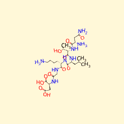 CC(C)C[C@H](NC(=O)[C@@H](NC(=O)[C@@H](N)CC(N)=O)[C@@H](C)O)C(=O)N[C@@H](CCCCN)C(=O)NCC(=O)N[C@@H](CC(=O)O)C(=O)O